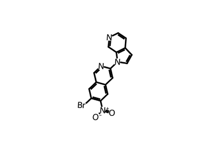 O=[N+]([O-])c1cc2cc(-n3ccc4ccncc43)ncc2cc1Br